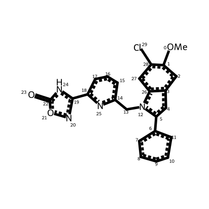 COc1cc2cc(-c3ccccc3)n(Cc3cccc(-c4noc(=O)[nH]4)n3)c2cc1Cl